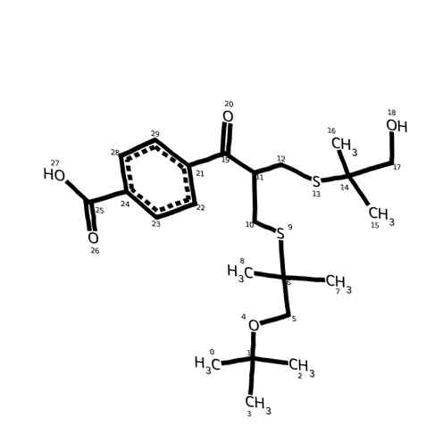 CC(C)(C)OCC(C)(C)SCC(CSC(C)(C)CO)C(=O)c1ccc(C(=O)O)cc1